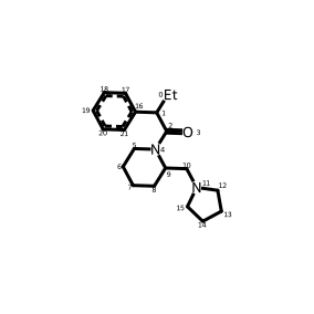 CCC(C(=O)N1CCCCC1CN1CCCC1)c1ccccc1